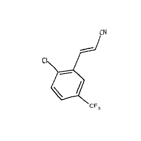 N#CC=Cc1cc(C(F)(F)F)ccc1Cl